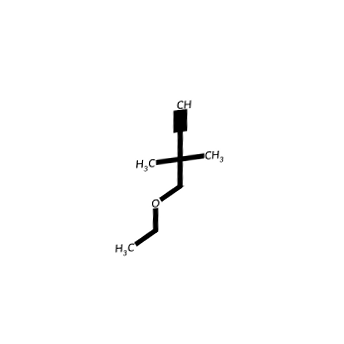 C#CC(C)(C)[CH]OCC